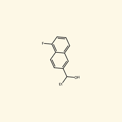 CCC(O)c1ccc2c(F)cccc2c1